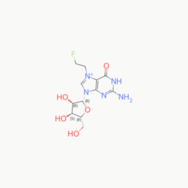 Nc1nc2c(c(=O)[nH]1)[n+](CCF)cn2[C@@H]1O[C@H](CO)[C@@H](O)[C@H]1O